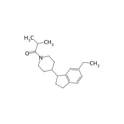 CCc1ccc2c(c1)C(C1CCN(C(=O)C(C)C)CC1)CC2